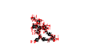 O=C(O)CC(=O)OC[C@H]1O[C@@H](Oc2cc3c(O)cc(=O)cc-3oc2-c2cc(O[C@@H]3O[C@H](COC(=O)C=Cc4ccc(O)cc4)[C@@H](O)[C@H](O)[C@H]3O)c(O)c(O[C@@H]3O[C@H](COC(=O)/C=C/c4ccc(O[C@@H]5O[C@H](COC(=O)C=Cc6ccc(O)cc6)[C@@H](O)[C@H](O)[C@H]5O)cc4)[C@@H](O)[C@H](O)[C@H]3O)c2)[C@H](O)[C@@H](O)[C@@H]1O